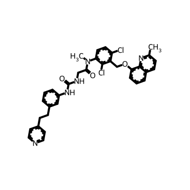 Cc1ccc2cccc(OCc3c(Cl)ccc(N(C)C(=O)CNC(=O)Nc4cccc(CCc5ccncc5)c4)c3Cl)c2n1